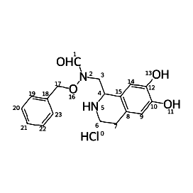 Cl.O=CN(CC1NCCc2cc(O)c(O)cc21)OCc1ccccc1